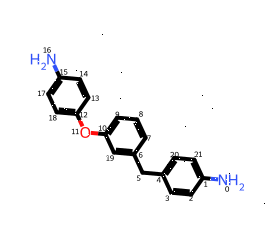 Nc1ccc(Cc2cccc(Oc3ccc(N)cc3)c2)cc1